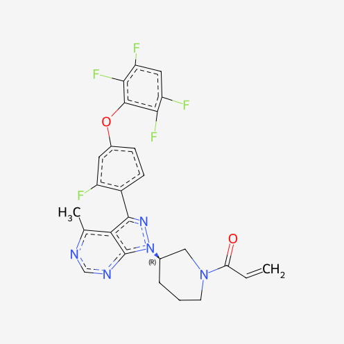 C=CC(=O)N1CCC[C@@H](n2nc(-c3ccc(Oc4c(F)c(F)cc(F)c4F)cc3F)c3c(C)ncnc32)C1